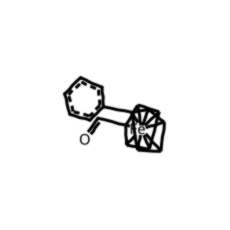 O=C[C]12[CH]3[CH]4[CH]5[CH]1[Fe]45321678[CH]2[CH]1[CH]6[C]7(c1ccccc1)[CH]28